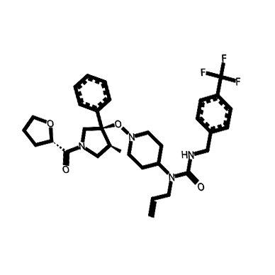 C=CCN(C(=O)NCc1ccc(C(F)(F)F)cc1)C1CCN(O[C@]2(c3ccccc3)CN(C(=O)[C@@H]3CCCO3)C[C@@H]2C)CC1